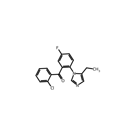 CCc1cncn1-c1ccc(F)cc1C(=O)c1ccccc1Cl